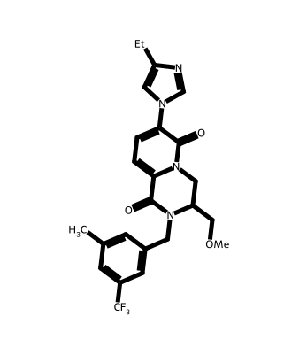 CCc1cn(-c2ccc3n(c2=O)CC(COC)N(Cc2cc(C)cc(C(F)(F)F)c2)C3=O)cn1